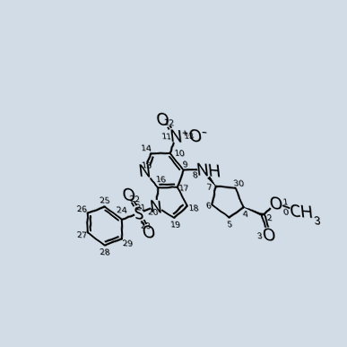 COC(=O)[C@H]1CC[C@@H](Nc2c([N+](=O)[O-])cnc3c2ccn3S(=O)(=O)c2ccccc2)C1